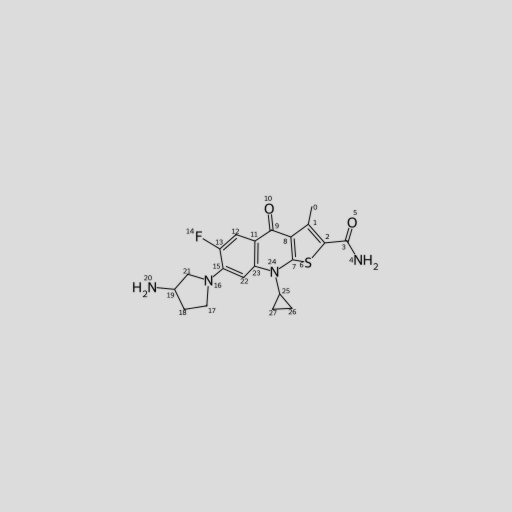 Cc1c(C(N)=O)sc2c1c(=O)c1cc(F)c(N3CCC(N)C3)cc1n2C1CC1